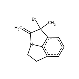 C=C1N2CCc3cccc(c32)C1(C)CC